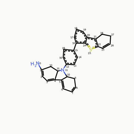 NC1=CC=C2C3=CC=CCC3N(c3ccc(-c4cccc5c6c(sc45)C=CCC6)cc3)C2C1